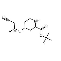 C[C@@H](CC#N)OC1CCNC(C(=O)OC(C)(C)C)C1